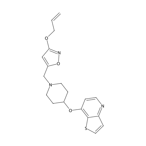 C=CCOc1cc(CN2CCC(Oc3ccnc4ccsc34)CC2)on1